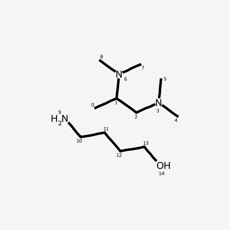 CC(CN(C)C)N(C)C.NCCCCO